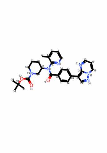 Cc1cccnc1N(C(=O)c1ccc(-c2cnn3cccnc23)cc1)C1CCCN(C(=O)OC(C)(C)C)C1